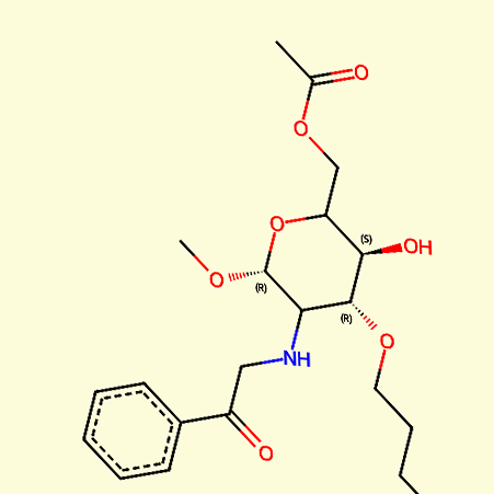 CCCCO[C@@H]1C(NCC(=O)c2ccccc2)[C@H](OC)OC(COC(C)=O)[C@H]1O